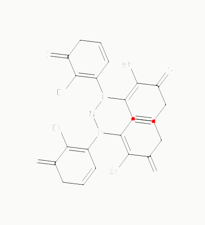 CCC1=C(P([N]P(C2=C(CC)C(=S)CC=C2)C2=C(CC)C(=S)CC=C2)C2=C(CC)C(=S)CC=C2)C=CCC1=S